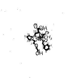 C[C@@]1(NC(=O)Cc2ccccc2)C(=O)N2C(C(=O)O)=CCS[C@H]21.OCCOCCN1CCCC1